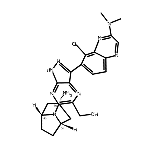 CN(C)c1cnc2ccc(-c3n[nH]c4nc(N5[C@@H]6CC[C@H]5C[C@@H](N)C6)c(CO)nc34)c(Cl)c2n1